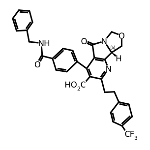 O=C(NCc1ccccc1)c1ccc(-c2c(C(=O)O)c(CCc3ccc(C(F)(F)F)cc3)nc3c2C(=O)N2COC[C@H]32)cc1